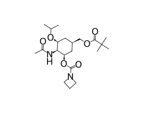 CC(=O)N[C@H]1[C@@H](OC(C)C)C[C@@H](COC(=O)C(C)(C)C)C[C@H]1OC(=O)N1CCC1